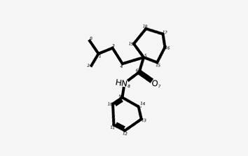 CC(C)CCC1(C(=O)NC2=CC=CC[CH]2)CCCCC1